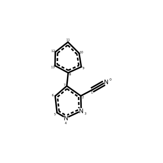 N#Cc1nnccc1-c1ccccc1